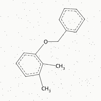 Cc1cccc(OCc2ccccc2)c1C